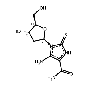 NC(=O)c1[nH]c(=S)n([C@H]2C[C@H](O)[C@@H](CO)O2)c1N